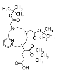 CC(C)(C)OC(=O)CN1CCN(CC(=O)OC(C)(C)C)Cc2cccc(n2)CN(C(CCC(=O)O)C(=O)OC(C)(C)C)CC1